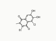 CCn1c(=O)c2c(Cl)c(O)c(O)cc2c(=O)n1C